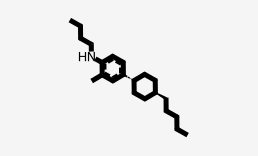 CCCCC[C@H]1CC[C@H](c2ccc(NCCCC)c(C)c2)CC1